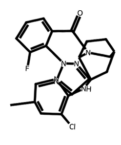 Cc1cnc(NC2CC3CCC2N(C(=O)c2cccc(F)c2-n2nccn2)C3)c(Cl)c1